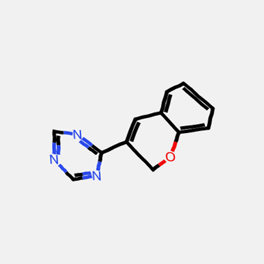 C1=C(c2ncncn2)COc2ccccc21